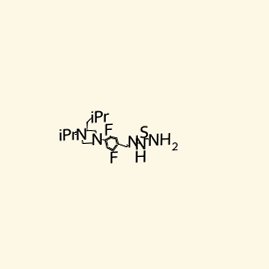 CC(C)C[C@H]1CN(c2cc(F)c(/C=N/NC(N)=S)cc2F)CCN1C(C)C